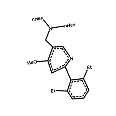 CCCCCCN(CCCCCC)Cc1cnc(-c2c(CC)cccc2CC)cc1OC